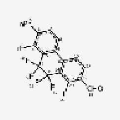 CCCc1ccc2c(c1F)C(F)(F)C(F)(F)c1c-2ccc(C=O)c1F